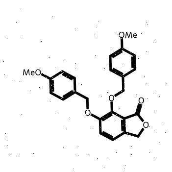 COc1ccc(COc2ccc3c(c2OCc2ccc(OC)cc2)C(=O)OC3)cc1